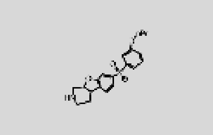 CCCOc1cccc(S(=O)(=O)c2ccc3c(c2)OC2CNCCC32)c1